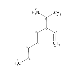 C=C/C(CCCCC)=C(\C)N